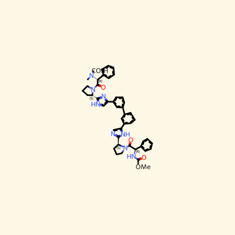 COC(=O)N[C@@H](C(=O)N1CCC[C@H]1c1ncc(-c2cccc(-c3cccc(-c4c[nH]c([C@@H]5CCCN5C(=O)[C@@H](c5ccccc5)N(C)C(=O)O)n4)c3)c2)[nH]1)c1ccccc1